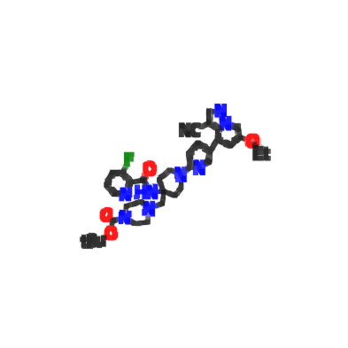 CCOc1cc(-c2ccc(N3CCC(CN4CCN(C(=O)OC(C)(C)C)CC4)(NC(=O)c4ncccc4F)CC3)nc2)c2c(C#N)cnn2c1